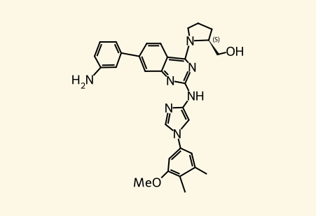 COc1cc(-n2cnc(Nc3nc(N4CCC[C@H]4CO)c4ccc(-c5cccc(N)c5)cc4n3)c2)cc(C)c1C